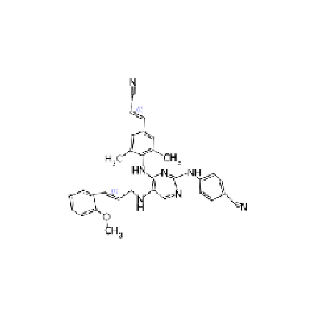 COc1ccccc1/C=C/CNc1cnc(Nc2ccc(C#N)cc2)nc1Nc1c(C)cc(/C=C/C#N)cc1C